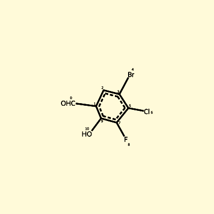 O=Cc1cc(Br)c(Cl)c(F)c1O